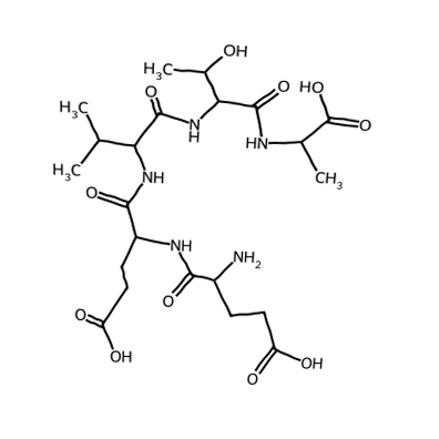 CC(NC(=O)C(NC(=O)C(NC(=O)C(CCC(=O)O)NC(=O)C(N)CCC(=O)O)C(C)C)C(C)O)C(=O)O